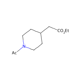 CCOC(=O)CC1CCN(C(C)=O)CC1